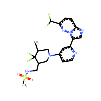 CC1CN(c2ccnc(-c3cnc4ccc(C(F)F)nn34)c2)CC(CNS(C)(=O)=O)C1(F)F